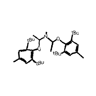 Cc1cc(C(C)(C)C)c(OC(C)N(C)C(C)Oc2c(C(C)(C)C)cc(C)cc2C(C)(C)C)c(C(C)(C)C)c1